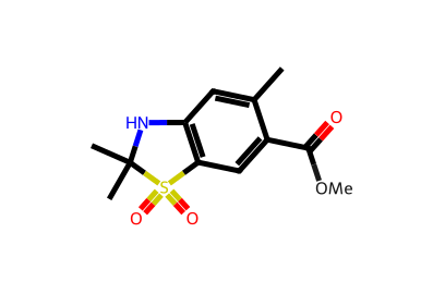 COC(=O)c1cc2c(cc1C)NC(C)(C)S2(=O)=O